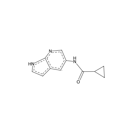 O=C(Nc1[c]c2cc[nH]c2nc1)C1CC1